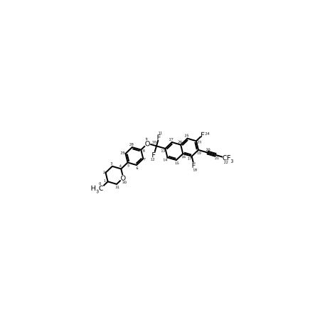 CC1CCC(c2ccc(OC(F)(F)c3ccc4c(F)c(C#CC(F)(F)F)c(F)cc4c3)cc2)OC1